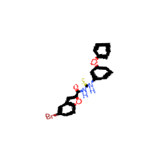 O=C(NC(=S)Nc1cccc(Oc2ccccc2)c1)c1cc2cc(Br)ccc2o1